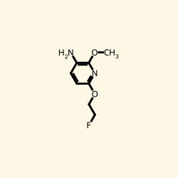 COc1nc(OCCF)ccc1N